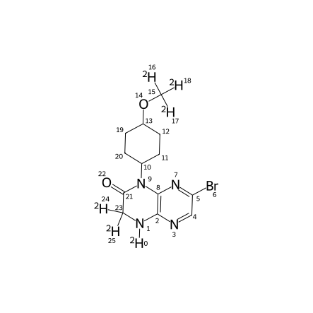 [2H]N1c2ncc(Br)nc2N(C2CCC(OC([2H])([2H])[2H])CC2)C(=O)C1([2H])[2H]